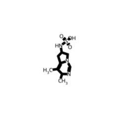 CC1=C2CC(NS(=O)(=O)O)CN2C=NC1C